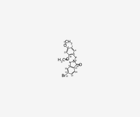 COc1ccc(CN2Cc3cc(Br)ccc3C2=O)c(OC)c1